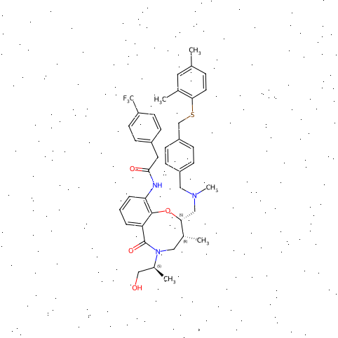 Cc1ccc(SCc2ccc(CN(C)C[C@H]3Oc4c(NC(=O)Cc5ccc(C(F)(F)F)cc5)cccc4C(=O)N([C@@H](C)CO)C[C@H]3C)cc2)c(C)c1